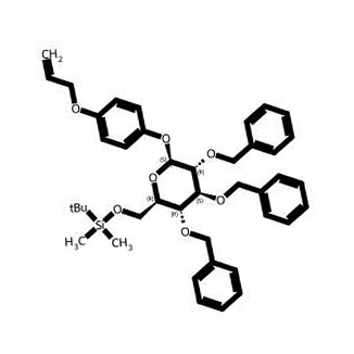 C=CCOc1ccc(O[C@@H]2O[C@H](CO[Si](C)(C)C(C)(C)C)[C@@H](OCc3ccccc3)[C@H](OCc3ccccc3)[C@H]2OCc2ccccc2)cc1